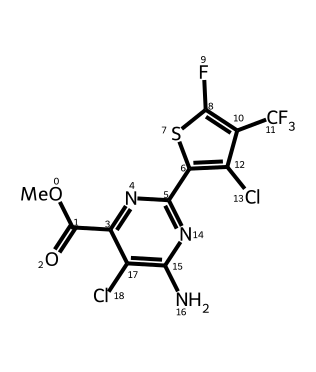 COC(=O)c1nc(-c2sc(F)c(C(F)(F)F)c2Cl)nc(N)c1Cl